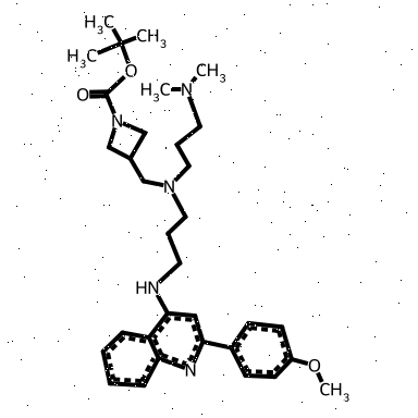 COc1ccc(-c2cc(NCCCN(CCCN(C)C)CC3CN(C(=O)OC(C)(C)C)C3)c3ccccc3n2)cc1